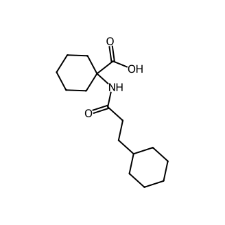 O=C(CCC1CCCCC1)NC1(C(=O)O)CCCCC1